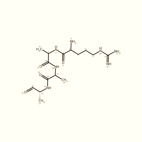 CC(NC(=O)C(N)CCCNC(=N)N)C(=O)NC(C)C(=O)N[C@H](C)[C]=O